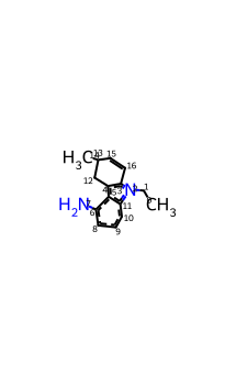 CCn1c2c(c3c(N)cccc31)CC(C)C=C2